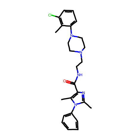 Cc1c(Cl)cccc1N1CCN(CCNC(=O)c2nc(C)n(-c3ccccc3)c2C)CC1